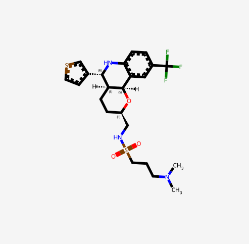 CN(C)CCCS(=O)(=O)NC[C@H]1CC[C@@H]2[C@H](O1)c1cc(C(F)(F)F)ccc1N[C@H]2c1ccsc1